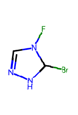 FN1C=NNC1Br